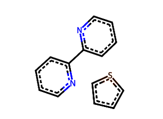 c1ccc(-c2ccccn2)nc1.c1ccsc1